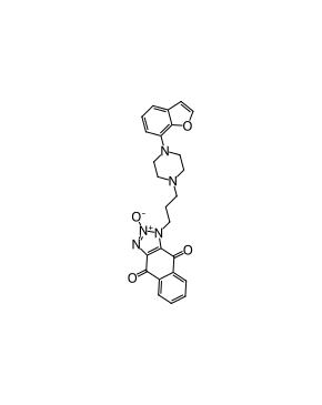 O=C1c2ccccc2C(=O)c2c1n[n+]([O-])n2CCCN1CCN(c2cccc3ccoc23)CC1